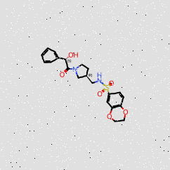 O=C([C@@H](O)c1ccccc1)N1CC[C@@H](CNS(=O)(=O)c2ccc3c(c2)OCCO3)C1